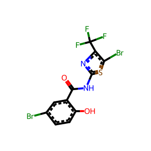 O=C(Nc1nc(C(F)(F)F)c(Br)s1)c1cc(Br)ccc1O